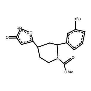 COC(=O)N1CCC(c2cc(=O)[nH]o2)CC1c1cccc(C(C)(C)C)c1